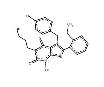 CCc1ccccc1-c1nc2c(c(=O)n(CCCO)c(=O)n2C)n1Cc1ccc(Cl)cn1